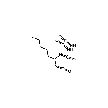 CCCCCC(N=C=O)N=C=O.N=C=O.N=C=O